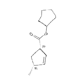 C[C@H]1C=C[C@@H](C(=O)OC2CCCC2)C1